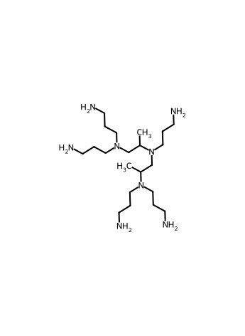 CC(CN(CCCN)C(C)CN(CCCN)CCCN)N(CCCN)CCCN